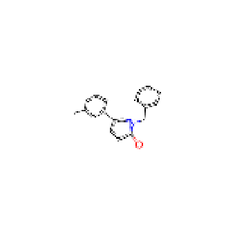 Cc1cccc(-c2ccc(=O)n(Cc3ccccc3)c2)c1